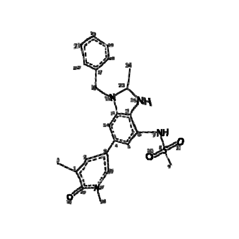 Cc1cc(-c2cc(NS(C)(=O)=O)c3c(c2)N(Cc2ccccc2)C(C)N3)cn(C)c1=O